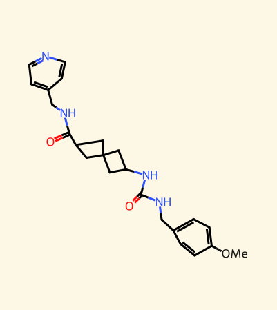 COc1ccc(CNC(=O)NC2CC3(C2)CC(C(=O)NCc2ccncc2)C3)cc1